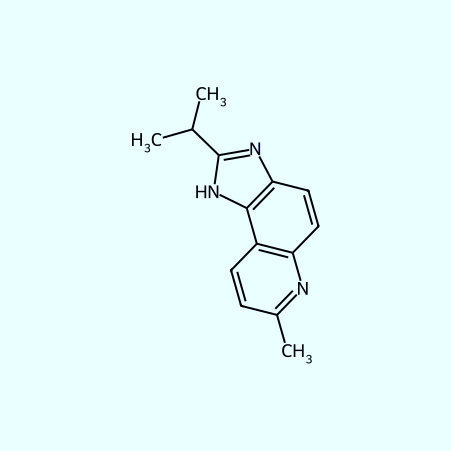 Cc1ccc2c(ccc3nc(C(C)C)[nH]c32)n1